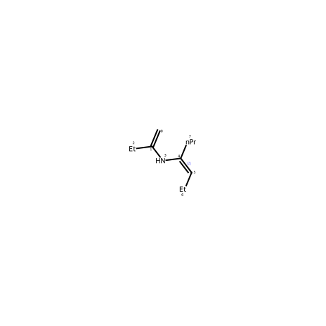 C=C(CC)N/C(=C\CC)CCC